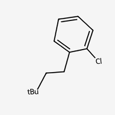 CC(C)(C)CCc1ccccc1Cl